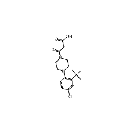 CC(C)(C)c1cc(Cl)ccc1N1CCN(C(=O)CC(=O)O)CC1